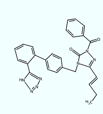 CC/C=C/c1nn(C(=O)c2ccccc2)c(=O)n1Cc1ccc(-c2ccccc2-c2nnn[nH]2)cc1